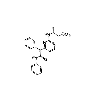 COC[C@H](C)Nc1nccc(N(C(=O)Nc2ccccc2)c2ccccc2)n1